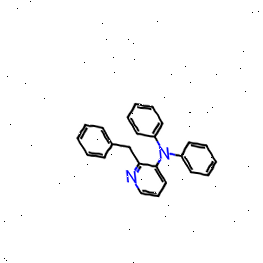 c1ccc(Cc2ncccc2N(c2ccccc2)c2ccccc2)cc1